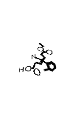 CCOC(=O)CCC(C#N)(CCC(=O)O)c1ccccc1C